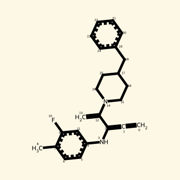 C=C=C(Nc1ccc(C)c(F)c1)C(=C)N1CCC(Cc2ccccc2)CC1